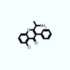 CC(N)c1oc2cccc(Cl)c2c(=O)c1-c1ccccc1